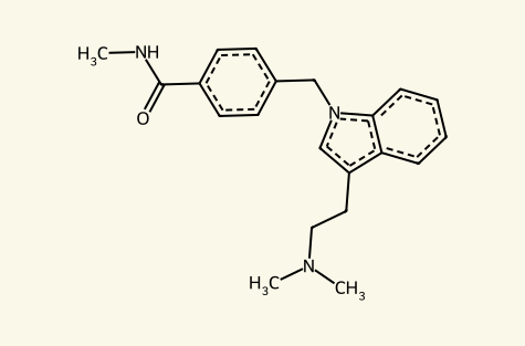 CNC(=O)c1ccc(Cn2cc(CCN(C)C)c3ccccc32)cc1